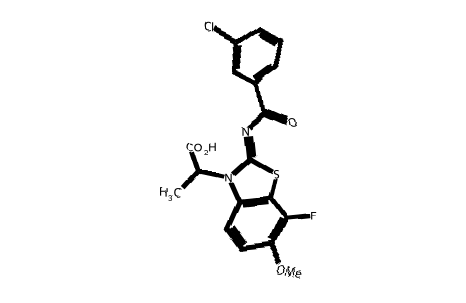 COc1ccc2c(s/c(=N\C(=O)c3cccc(Cl)c3)n2C(C)C(=O)O)c1F